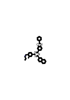 C=C/C=C\c1ccc(-c2nc(-c3ccc4ccccc4c3)nc(-c3ccc4nc(-c5ccccc5)oc4c3)n2)cc1C